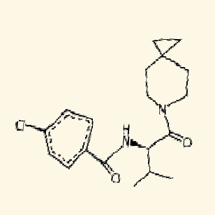 CC(C)[C@@H](NC(=O)c1ccc(Cl)cc1)C(=O)N1CCC2(CC1)CC2